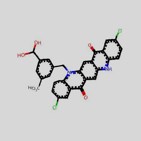 O=C(O)c1cc(Cn2c3ccc(Cl)cc3c(=O)c3cc4[nH]c5ccc(Cl)cc5c(=O)c4cc32)cc(C(O)O)c1